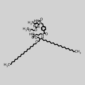 CCCCCCCCCCCCCCCCCCCC(COCCCCCCCCCCCCCCCCCC)COP(=O)(O)CCCNC(=O)c1ccc(Cn2c(=O)[nH]c3c(N)nc(OCCOC)nc32)cc1